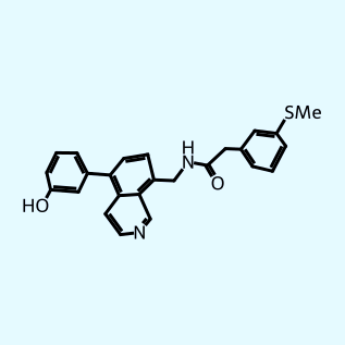 CSc1cccc(CC(=O)NCc2ccc(-c3cccc(O)c3)c3ccncc23)c1